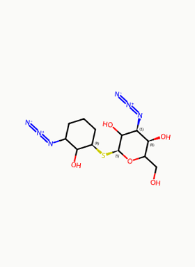 [N-]=[N+]=NC1CCC[C@@H](S[C@@H]2OC(CO)[C@H](O)[C@H](N=[N+]=[N-])C2O)C1O